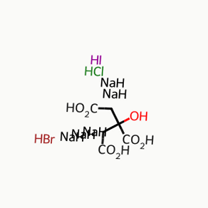 Br.Cl.I.O=C(O)CC(O)(CC(=O)O)C(=O)O.[NaH].[NaH].[NaH].[NaH].[NaH]